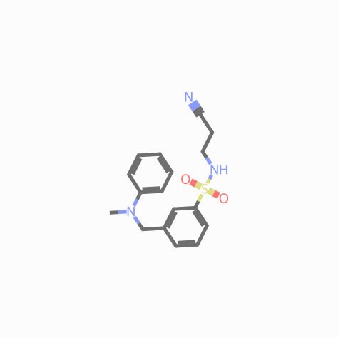 CN(Cc1cccc(S(=O)(=O)NCCC#N)c1)c1ccccc1